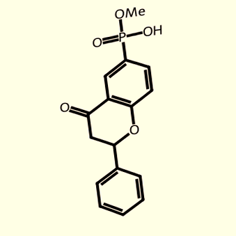 COP(=O)(O)c1ccc2c(c1)C(=O)CC(c1ccccc1)O2